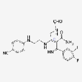 N#Cc1ccc(NCCN/C(CNC=O)=C(\C(=N)c2ccc(F)c(F)c2)C(N)=O)cc1